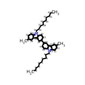 C=CCCCCCCCCn1c2ccc(C)cc2c2cc(-c3ccc4c(c3)c3cc(C)ccc3n4CCCCCCCCCC)ccc21